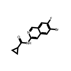 O=C(Nc1cc2cc(Br)c(F)cc2cn1)C1CC1